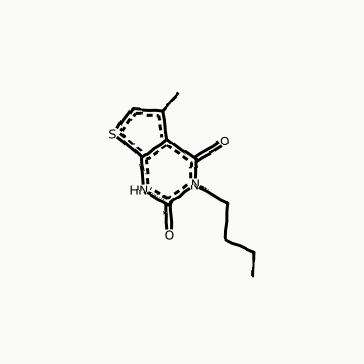 CCCCn1c(=O)[nH]c2scc(C)c2c1=O